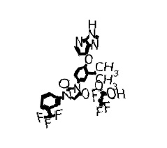 CC(C)c1cc(N2C(=O)CN(c3cccc(C(F)(F)F)c3)C2=O)ccc1Oc1ccnc2[nH]cnc12.O=C(O)C(F)(F)F